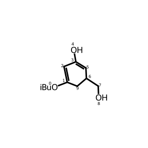 CC(C)COC1=CC(O)=CC(CO)C1